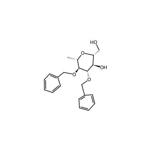 C[C@@H]1O[C@H](CO)[C@@H](O)[C@H](OCc2ccccc2)[C@H]1OCc1ccccc1